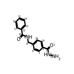 NNC(=O)c1ccc(CNC(=O)c2ccccc2)cc1